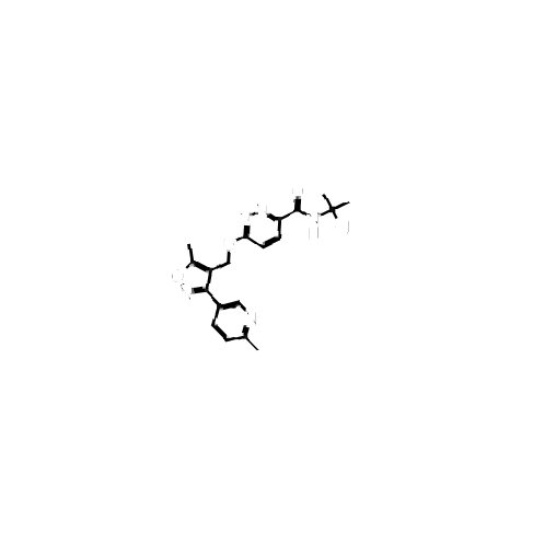 Cc1ccc(-c2noc(C)c2COc2ccc(C(=O)NC(C)(C)C(F)(F)F)nn2)cn1